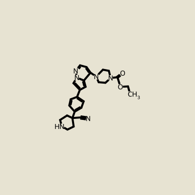 CCOC(=O)N1CCN(c2ccnn3cc(-c4ccc(C5(C#N)CCNCC5)cc4)cc23)CC1